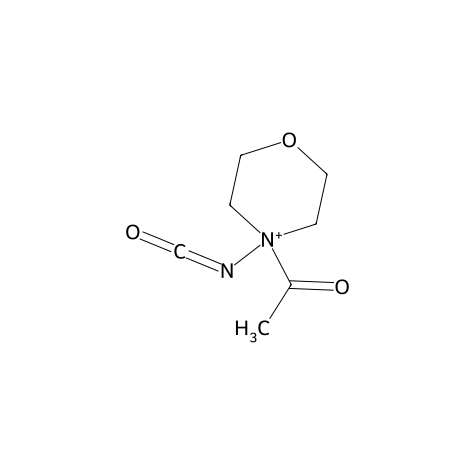 CC(=O)[N+]1(N=C=O)CCOCC1